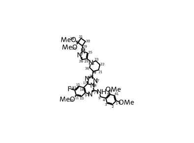 COc1ccc(CNc2nc3cc(OC)c(F)cc3c3nc([C@@H]4CCCN(c5cnn(C6CCC6(OC)OC)c5)C4)nn23)c(OC)c1